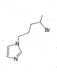 CC(Br)CCCn1ccnc1